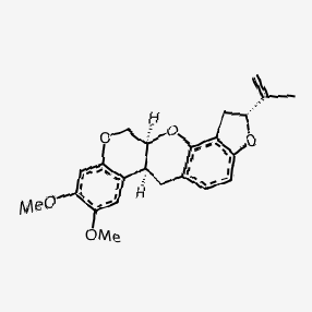 C=C(C)[C@H]1Cc2c(ccc3c2O[C@@H]2COc4cc(OC)c(OC)cc4[C@@H]2C3)O1